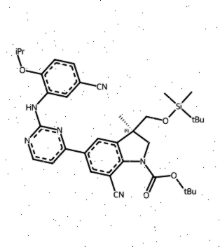 CC(C)Oc1ccc(C#N)cc1Nc1nccc(-c2cc(C#N)c3c(c2)[C@@](C)(CO[Si](C)(C)C(C)(C)C)CN3C(=O)OC(C)(C)C)n1